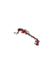 CC(C)OCC1CC(OP(=O)(O)OC(C)C)CN1C(=O)c1ccc(OCCOCCOCCOCCOCCOCCNC(=O)CCc2cc3c(c(Cl)c2O)Oc2cc(O)c(-c4ccc(P(=O)(O)OCCCCN)cc4)cc2C32OC(=O)c3cccc(Cl)c32)cc1